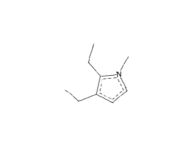 CCc1ccn(C)c1CC